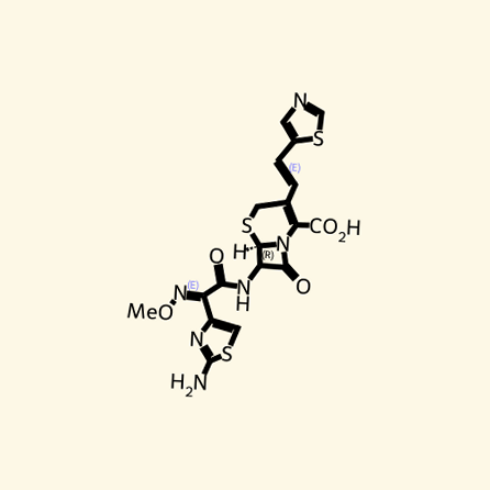 CO/N=C(/C(=O)NC1C(=O)N2C(C(=O)O)=C(/C=C/c3cncs3)CS[C@H]12)c1csc(N)n1